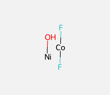 [F][Co][F].[OH][Ni]